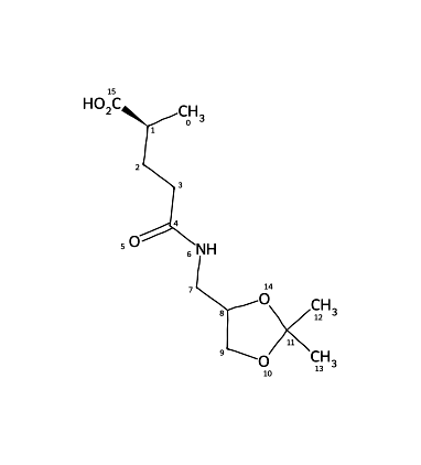 C[C@@H](CCC(=O)NCC1COC(C)(C)O1)C(=O)O